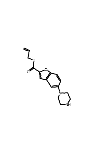 C=CCOC(=O)c1cc2cc(N3CCNCC3)ccc2o1